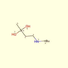 CCCCNCC[Si](C)(O)O